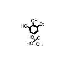 CCc1cccc(O)c1O.O=P(O)(O)O